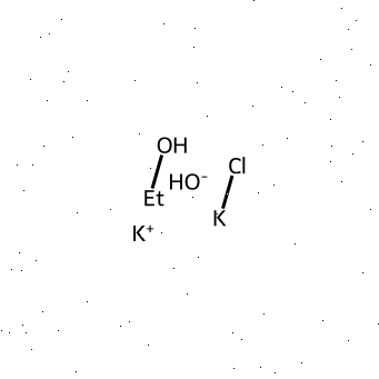 CCO.[Cl][K].[K+].[OH-]